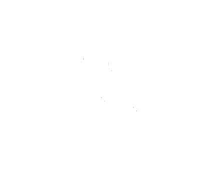 COC(=O)c1nc([N+](=O)[O-])c(C)[nH]1